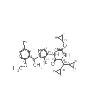 COc1ncc(F)cc1[C@H](C)n1ncc(NC(=O)[C@@H](NC(=O)OC2CC2)C(C2CC2)C2CC2)c1F